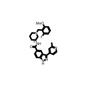 COc1cccc(F)c1CN1CCC[C@@H](NC(=O)c2ccc3[nH]nc(-c4ccnc(C)c4)c3c2)C1